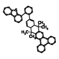 CC1(C)c2cc3c4ccccc4c4ccccc4c3cc2C(C)(C)C2C=C(c3ccccc3-c3cccc4c3sc3ccccc34)C=CC21